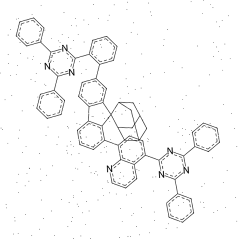 c1ccc(-c2nc(-c3ccccc3)nc(-c3ccccc3-c3ccc4c(c3)C3(c5c-4cccc5-c4ccc(-c5nc(-c6ccccc6)nc(-c6ccccc6)n5)c5cccnc45)C4CC5CC(C4)CC3C5)n2)cc1